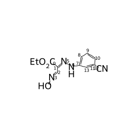 CCOC(=O)C(C=NO)=NNc1cccc(C#N)c1